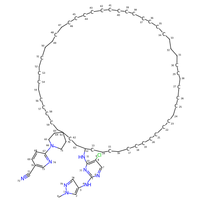 Cn1cc(Nc2ncc(Cl)c(NC3CCCCCCCCCCCCCCCCCCCCCCCCCCCCCCCCCCCCCCCCCCCCCCCCC4(CC3)CCN(c3ccc(C#N)cn3)CC4)n2)cn1